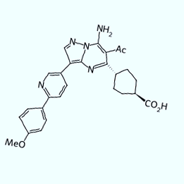 COc1ccc(-c2ccc(-c3cnn4c(N)c(C(C)=O)c([C@H]5CC[C@H](C(=O)O)CC5)nc34)cn2)cc1